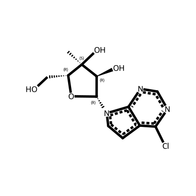 C[C@@]1(O)[C@@H](CO)O[C@@H](n2ccc3c(Cl)ncnc32)[C@@H]1O